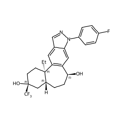 CC[C@@]12CC[C@](O)(C(F)(F)F)C[C@H]1CC[C@H](O)c1cc3c(cnn3-c3ccc(F)cc3)cc12